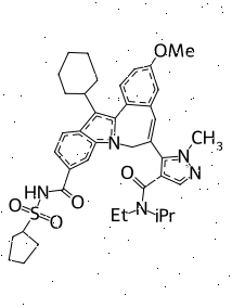 CCN(C(=O)c1cnn(C)c1C1=Cc2cc(OC)ccc2-c2c(C3CCCCC3)c3ccc(C(=O)NS(=O)(=O)C4CCCC4)cc3n2C1)C(C)C